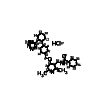 Cc1cc(OCc2ccc(-c3ccccc3-c3nnn[nH]3)cc2)c(CNC(=O)c2ccccc2)c(C)n1.Cl